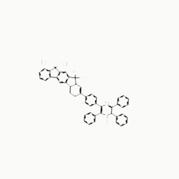 CC1(C)c2ccccc2-c2cc3c(cc21)C(C)(C)C1C=C(c2ccc(C4=C(c5ccccc5)NC(c5ccccc5)C(c5ccccc5)=N4)cc2)CCC31